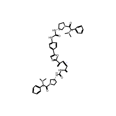 C=C(/C=C\C(=C)c1ncc(-c2ccc(NC(=O)N[C@@H]3CCN(C(=O)[C@@H](c4ccccc4)N(C)C)C3)cc2)o1)NC(=O)N[C@@H]1CCN(C(=O)[C@@H](c2ccccc2)N(C)C)C1